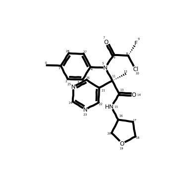 Cc1ccc(N(C(=O)[C@H](F)Cl)[C@@](C)(C(=O)NC2CCOC2)c2cncnc2)cc1